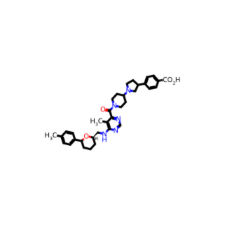 Cc1ccc(C2CCC[C@H](CNc3ncnc(C(=O)N4CCC(N5CCC(c6ccc(C(=O)O)cc6)C5)CC4)c3C)O2)cc1